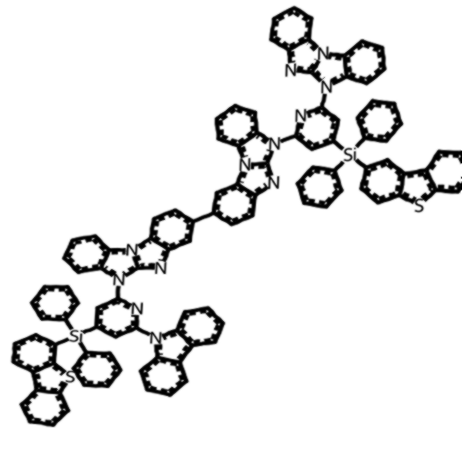 c1ccc([Si](c2ccccc2)(c2cc(-n3c4ccccc4n4c5ccccc5nc34)nc(-n3c4ccccc4n4c5cc(-c6ccc7c(c6)nc6n(-c8cc([Si](c9ccccc9)(c9ccccc9)c9cccc%10c9sc9ccccc9%10)cc(-n9c%10ccccc%10c%10ccccc%109)n8)c8ccccc8n76)ccc5nc34)c2)c2ccc3sc4ccccc4c3c2)cc1